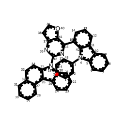 c1ccc(-n2c3ccccc3c3cccc(-c4nc(-n5c6ccccc6c6c7ccccc7ccc65)nc5ccoc45)c32)cc1